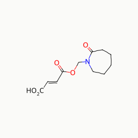 O=C(O)C=CC(=O)OCN1CCCCCC1=O